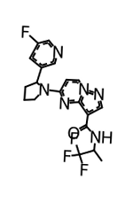 CC(NC(=O)c1cnn2ccc(N3CCCC3c3cncc(F)c3)nc12)C(F)(F)F